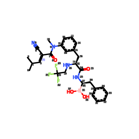 CC(C)/C=C(\C#N)C(=O)N(C)c1cccc(C[C@H](NCC(F)(F)F)C(=O)N[C@@H](Cc2ccccc2)B(O)O)c1